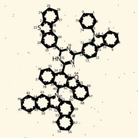 c1ccc(-n2c3ccccc3c3ccc(C4=NC(c5ccc6sc7ccccc7c6c5)NC(c5c6ccccc6c(-n6c7cc8ccccc8cc7c7c8ccccc8ccc76)c6c5oc5ccccc56)=N4)cc32)cc1